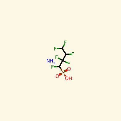 N.O=S(=O)(O)C(F)C(F)(F)C(F)C(F)F